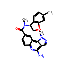 Cc1ccc2c(c1)OC[C@H]2N(C)C(=O)c1ccc2nc(N)c3cnn(C)c3c2c1